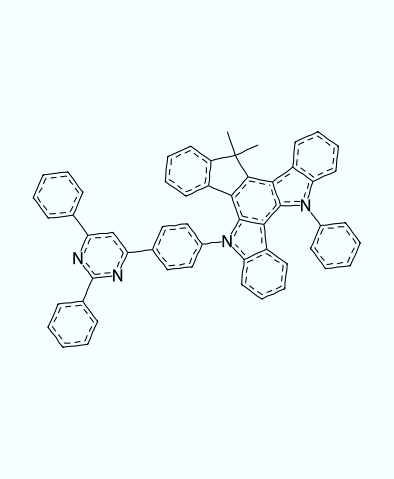 CC1(C)c2ccccc2-c2c1c1c3ccccc3n(-c3ccccc3)c1c1c3ccccc3n(-c3ccc(-c4cc(-c5ccccc5)nc(-c5ccccc5)n4)cc3)c21